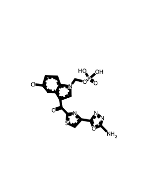 Nc1nnc(-c2csc(C(=O)c3cn(COP(=O)(O)O)c4ccc(Cl)cc34)n2)o1